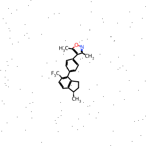 Cc1noc(C)c1-c1ccc(-c2c(C(F)(F)F)ccc3c2CC[C@H]3C)cc1